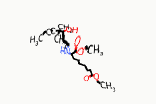 CCCCC(C)(C)C(O)CCNC(CCCCCCC(=O)OCC)C(=O)OCC